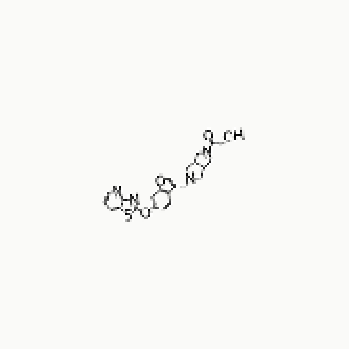 O=C(CO)N1CC2CN(Cc3coc4cc(Oc5nc6ncccc6s5)ccc34)CC2C1